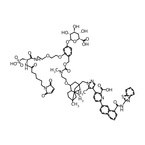 Cc1c(-c2ccc(-c3ccc4cccc(C(=O)Nc5nc6ccccc6s5)c4c3)nc2C(=O)O)cnn1CC12CC(OCCN(C)C(=O)OCc3ccc(O[C@@H]4O[C@H](C(=O)O)[C@@H](O)[C@H](O)[C@H]4O)cc3OCCOCCNC(=O)[C@H](CS(=O)(=O)O)NC(=O)CCCCCN3C(=O)C=CC3=O)C3CCC(C)(C1)CC3(C)C2